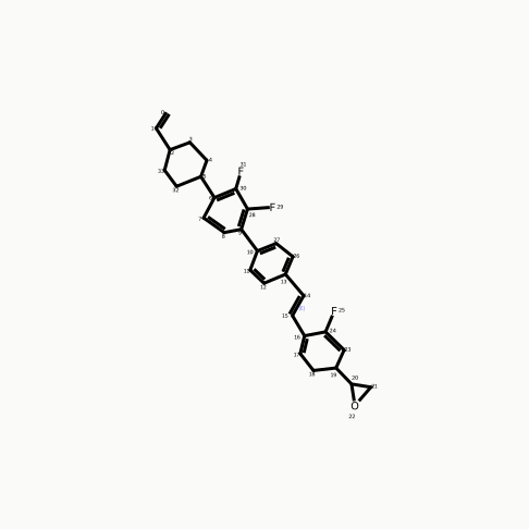 C=CC1CCC(c2ccc(-c3ccc(/C=C/C4=CCC(C5CO5)C=C4F)cc3)c(F)c2F)CC1